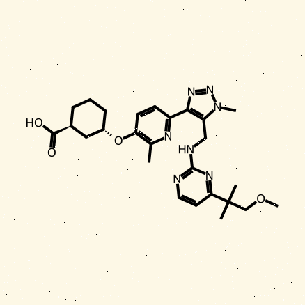 COCC(C)(C)c1ccnc(NCc2c(-c3ccc(O[C@H]4CCC[C@H](C(=O)O)C4)c(C)n3)nnn2C)n1